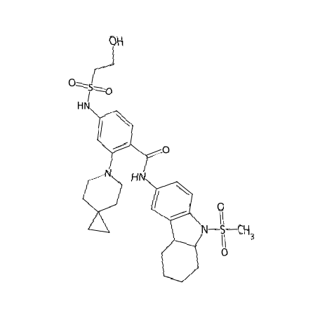 CS(=O)(=O)N1c2ccc(NC(=O)c3ccc(NS(=O)(=O)CCO)cc3N3CCC4(CC3)CC4)cc2C2CCCCC21